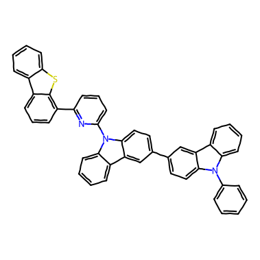 c1ccc(-n2c3ccccc3c3cc(-c4ccc5c(c4)c4ccccc4n5-c4cccc(-c5cccc6c5sc5ccccc56)n4)ccc32)cc1